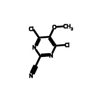 COc1c(Cl)nc(C#N)nc1Cl